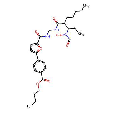 CCCCCC(C(=O)NCNC(=O)c1ccc(-c2ccc(C(=O)OCCCC)cc2)o1)[C@@H](CC)N(O)C=O